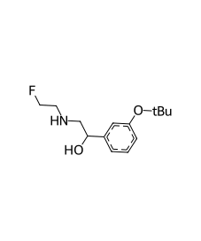 CC(C)(C)Oc1cccc(C(O)CNCCF)c1